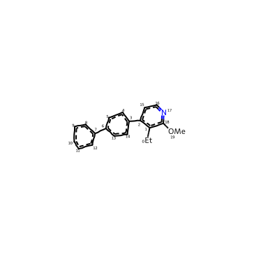 CCc1c(-c2ccc(-c3ccccc3)cc2)ccnc1OC